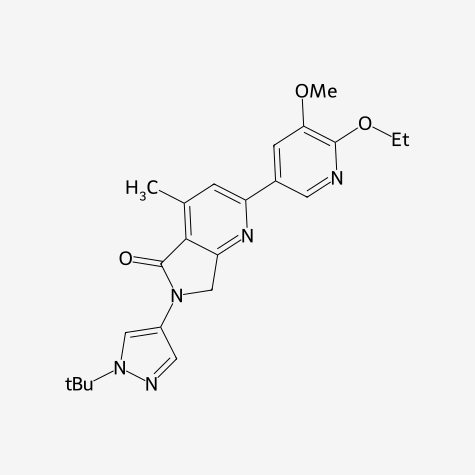 CCOc1ncc(-c2cc(C)c3c(n2)CN(c2cnn(C(C)(C)C)c2)C3=O)cc1OC